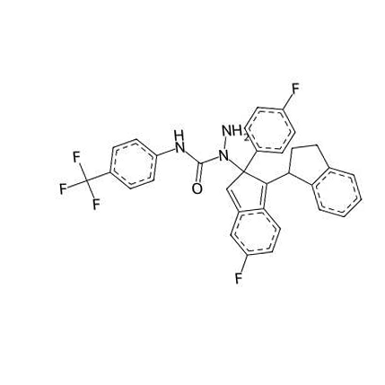 NN(C(=O)Nc1ccc(C(F)(F)F)cc1)C1(c2ccc(F)cc2)C=c2cc(F)ccc2=C1C1CCc2ccccc21